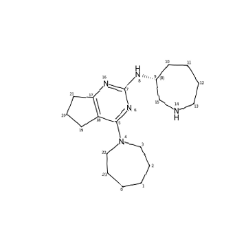 C1CCCN(c2nc(N[C@@H]3CCCCNC3)nc3c2CCC3)CC1